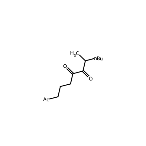 CCCCC(C)C(=O)C(=O)CCCC(C)=O